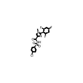 Cn1cc(C(=O)NS(=O)(=O)c2ccc(Cl)cc2)nc1-c1c(F)cc(F)cc1F